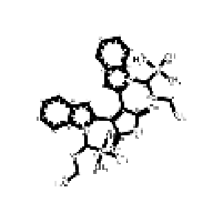 CCOC(n1c(C2=C(c3cc4ccccc4n3C(OCC)[Si](C)(C)C)C(=O)NC2=O)cc2ccccc21)[Si](C)(C)C